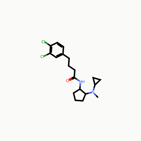 CN(C1CC1)C1CCCC1NC(=O)CCCc1ccc(Cl)c(Cl)c1